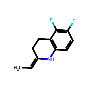 CC=C1CCc2c(ccc(F)c2F)N1